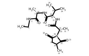 CCNC(=O)[C@H](C)NC(=O)[C@@H](NC(=O)[C@H](C)N1C(=O)CC(C)C1=O)C(C)C